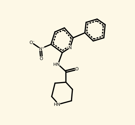 O=C(Nc1nc(-c2ccccc2)ccc1[N+](=O)[O-])C1CCNCC1